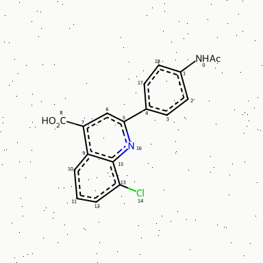 CC(=O)Nc1ccc(-c2cc(C(=O)O)c3cccc(Cl)c3n2)cc1